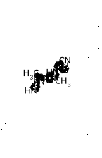 Cc1cc(N2CCN3[C@@H](C2)CN(c2ccc(C#N)c4ncccc24)C[C@H]3C)nc(N2CCNCC2)n1